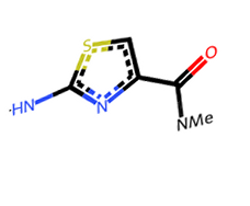 CNC(=O)c1csc([NH])n1